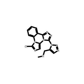 COCc1cnnn1-c1nnc2c3ccccc3n3c(Cl)ncc3n12